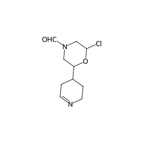 O=CN1CC(Cl)OC(C2CC=NCC2)C1